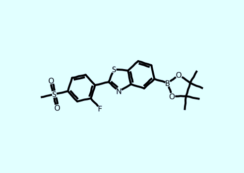 CC1(C)OB(c2ccc3sc(-c4ccc(S(C)(=O)=O)cc4F)nc3c2)OC1(C)C